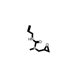 C=CCNC(=O)N(C)CC1CO1